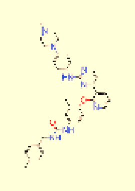 Cc1ccc(CNC(=O)Nc2ccc(Oc3ncccc3-c3ccnc(Nc4ccc(N5CCN(C)CC5)cc4)n3)c(C)c2)cc1